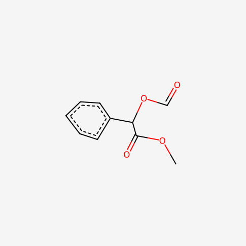 COC(=O)C(OC=O)c1ccccc1